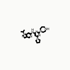 CC(C)n1ncc2cnc(Nc3cc(N4CCCC4)nc(N4CCCNCC4)n3)cc21